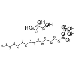 CCCCCCCCCCCCCCCC(=O)OP(=O)(O)O.OCC(O)CO